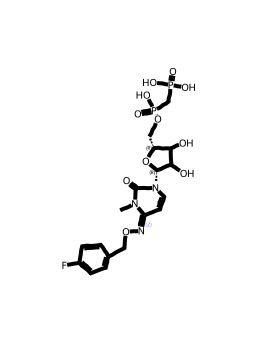 Cn1c(=O)n([C@@H]2O[C@H](COP(=O)(O)CP(=O)(O)O)C(O)C2O)cc/c1=N/OCc1ccc(F)cc1